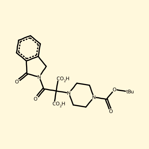 CC(C)(C)OC(=O)N1CCN(C(C(=O)O)(C(=O)O)C(=O)N2Cc3ccccc3C2=O)CC1